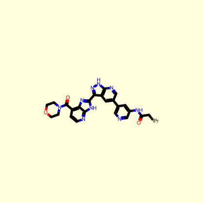 CC(C)CC(=O)Nc1cncc(-c2cnc3[nH]nc(-c4nc5c(C(=O)N6CCOCC6)ccnc5[nH]4)c3c2)c1